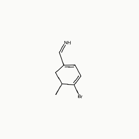 CC1CC(C=N)=CC=C1Br